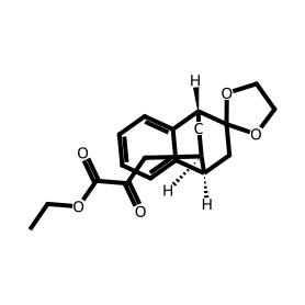 CCOC(=O)C(=O)C[C@H]1C[C@@H]2c3ccccc3[C@@H]1CC21OCCO1